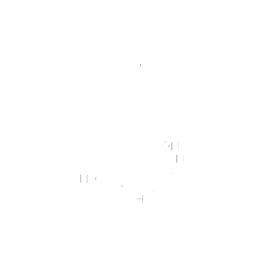 CCc1ccc(-c2ccc(Cl)cc2)cc1C1=C(O)[C@H]2CC[C@H](C2)C1=O